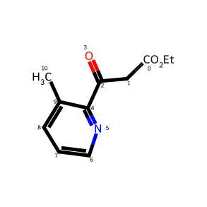 CCOC(=O)CC(=O)c1ncccc1C